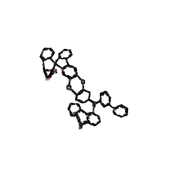 C1=C[C@@H]2C3c4ccccc4C4(c5ccccc5-c5cc6c(cc54)OC4=C(CC(N(c5cccc(-c7ccccc7)c5)c5cccc7sc8ccccc8c57)C=C4)O6)C32C=C1